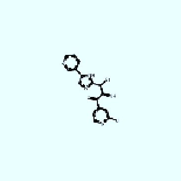 CCC(C(=N)C(=O)c1ccnc(Cl)c1)c1ncc(-c2cccnc2)[nH]1